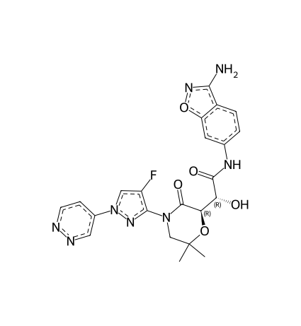 CC1(C)CN(c2nn(-c3ccnnc3)cc2F)C(=O)[C@@H]([C@@H](O)C(=O)Nc2ccc3c(N)noc3c2)O1